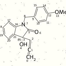 C=C=C[C@]1(O)C(=O)N(Cc2ccc(OC)cc2)c2ccccc21